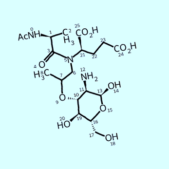 CC(=O)N[C@@H](C)C(=O)N(CC(C)O[C@@H]1[C@@H](N)[C@@H](O)O[C@H](CO)[C@H]1O)[C@H](CCC(=O)O)C(=O)O